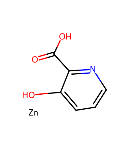 O=C(O)c1ncccc1O.[Zn]